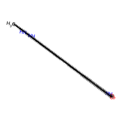 CCCCCCCCCCCCCCCCNCCCCCCNCCCCCCCCCCCCCCCCCCCCCCCCCCCCCCCCCCCCCCCCCCCCCCCCCCCCCCCCCCCCCCCCCCCCCCCCCCCCCCCCCCCCCCCCCCCCCCCCCCCCCCCCCCCCCCCNCCCCCC(=O)O